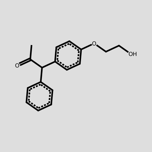 CC(=O)C(c1ccccc1)c1ccc(OCCO)cc1